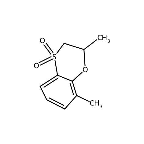 Cc1cccc2c1OC(C)CS2(=O)=O